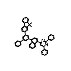 CC1(C)c2ccccc2-c2ccc(-c3cc(-c4ccccc4)cc(-c4ccc(-c5cc(-c6ccccc6)nc(-c6ccccc6)n5)c5ccccc45)c3)cc21